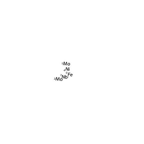 [Fe].[Mo].[Mo].[Nb].[Ni]